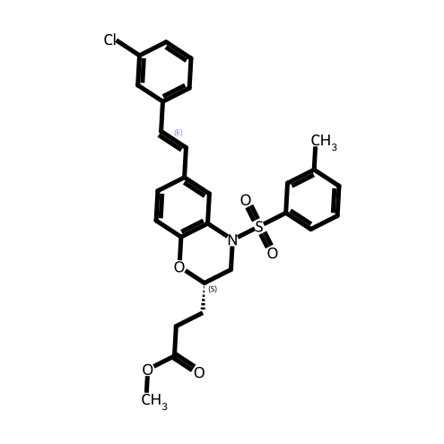 COC(=O)CC[C@H]1CN(S(=O)(=O)c2cccc(C)c2)c2cc(/C=C/c3cccc(Cl)c3)ccc2O1